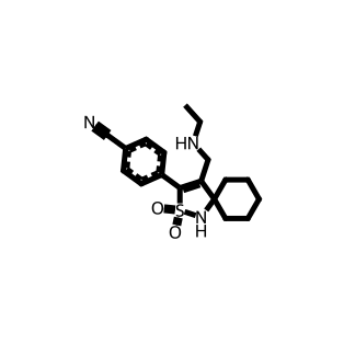 CCNCC1=C(c2ccc(C#N)cc2)S(=O)(=O)NC12CCCCC2